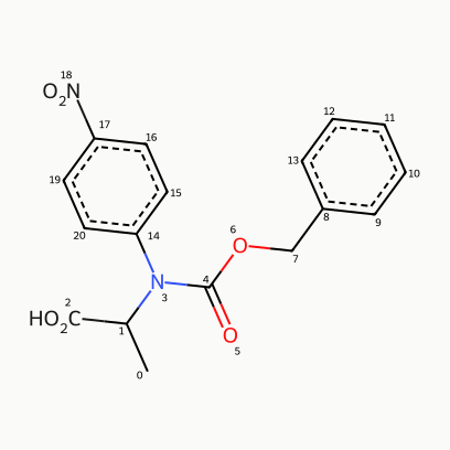 CC(C(=O)O)N(C(=O)OCc1ccccc1)c1ccc([N+](=O)[O-])cc1